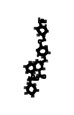 CCCCc1ccc(COc2ccc(CN(CCC(=O)OC)Cc3cccc(OCc4ccccc4)c3)cc2)cc1